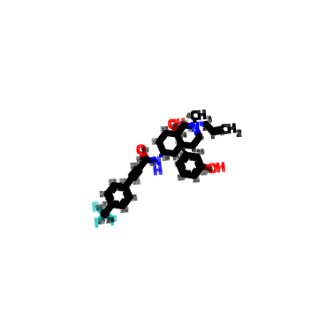 C=CC[N@@+]1(C)CC[C@@]2(c3cccc(O)c3)C[C@H](NC(=O)C#Cc3ccc(C(F)(F)F)cc3)CCC2(O)C1